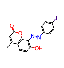 Cc1cc(=O)oc2c(/N=N/c3ccc(I)cc3)c(O)ccc12